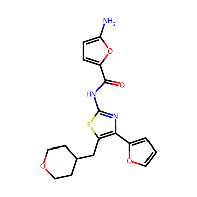 Nc1ccc(C(=O)Nc2nc(-c3ccco3)c(CC3CCOCC3)s2)o1